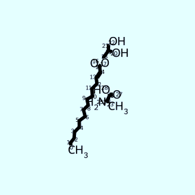 CCCCCCCCCCCCCC=CC(=O)OCC(O)CO.C[C@H](N)C(=O)O